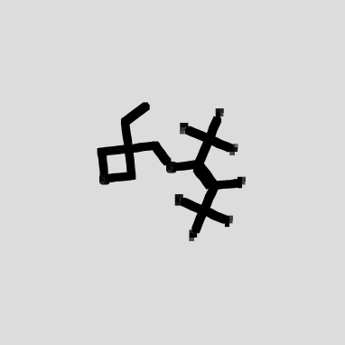 CCC1(COC(=C(F)C(F)(F)F)C(F)(F)F)COC1